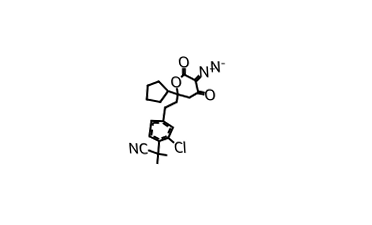 CC(C)(C#N)c1ccc(CCC2(C3CCCC3)CC(=O)C(=[N+]=[N-])C(=O)O2)cc1Cl